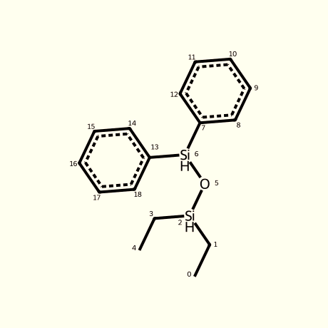 CC[SiH](CC)O[SiH](c1ccccc1)c1ccccc1